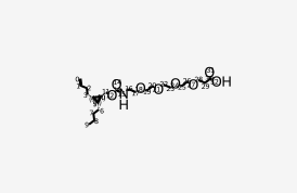 C=CCC[C@H]1[C@@H](CCCC)[C@H]1COC(=O)NCCOCCOCCOCCOCCC(=O)O